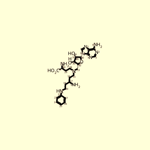 Nc1ncnc2c1ncn2[C@@H]1O[C@H](CN(CCC(N)CCNc2ccccc2)CC[C@H](N)C(=O)O)[C@@H](O)[C@H]1O